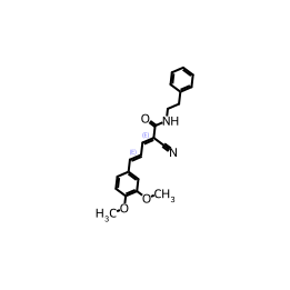 COc1ccc(/C=C/C=C(\C#N)C(=O)NCCc2ccccc2)cc1OC